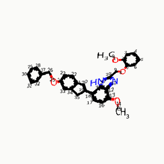 COc1ccccc1OCc1nc2c(OC)ccc(C3Cc4ccc(OCc5ccccc5)cc4C3)c2[nH]1